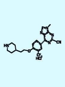 Cl.Cn1cnc2c(-c3ccc(OCCC4CCNCC4)c(C(F)(F)F)c3)nc(C#N)nc21